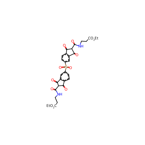 CCOC(=O)CCNC(=O)C1C(=O)c2ccc(S(=O)(=O)c3ccc4c(c3)C(=O)C(C(=O)NCCC(=O)OCC)C4=O)cc2C1=O